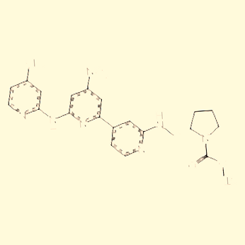 CC(C)(C)OC(=O)N1CCC[C@H]1CNc1cc(-c2cc([N+](=O)[O-])cc(Nc3cc(C(F)(F)F)ccn3)n2)ccn1